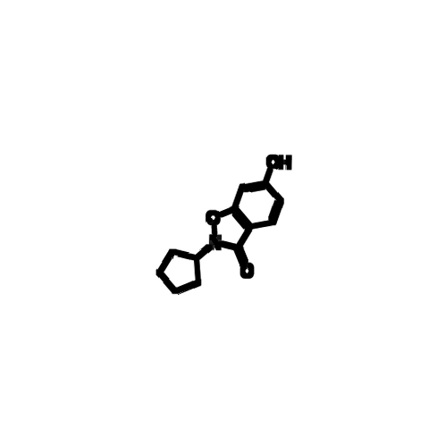 O=c1c2ccc(O)cc2on1C1CCCC1